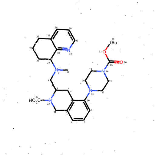 CN(CC1Cc2c(cccc2N2CCN(C(=O)OC(C)(C)C)CC2)CN1C(=O)O)C1CCCc2cccnc21